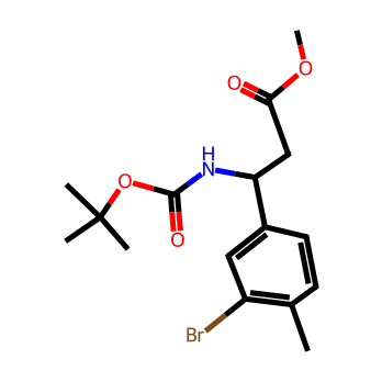 COC(=O)CC(NC(=O)OC(C)(C)C)c1ccc(C)c(Br)c1